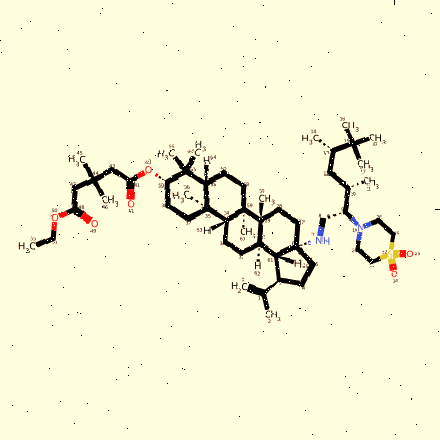 C=C(C)[C@@H]1CC[C@]2(NC[C@H]([C@@H](C)C[C@H](C)C(C)(C)C)N3CCS(=O)(=O)CC3)CC[C@]3(C)[C@H](CC[C@@H]4[C@@]5(C)CC[C@H](OC(=O)CC(C)(C)CC(=O)OCC)C(C)(C)[C@@H]5CC[C@]43C)[C@@H]12